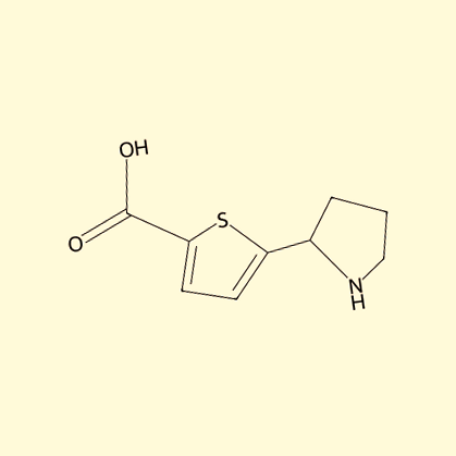 O=C(O)c1ccc(C2CCCN2)s1